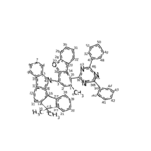 Cc1cc(-n2c3ccccc3c3ccc4c(c32)-c2ccccc2C4(C)C)c2oc3ccccc3c2c1-c1nc(-c2ccccc2)nc(-c2ccccc2)n1